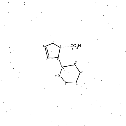 O=C(O)[C@H]1CC=C[C@H]1C1SCCCS1